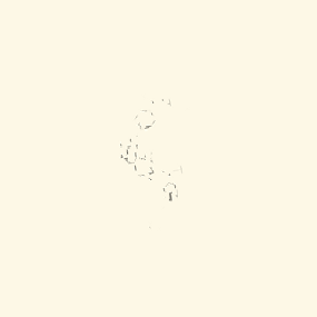 NC(=O)c1ccc(-n2nnc3cnc(Nc4cnn(C5CCOCC5)c4)nc32)cc1